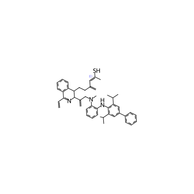 C=CC1=NC(C(=C)CN(C)c2ccccc2Nc2c(C(C)C)cc(-c3ccccc3)cc2C(C)C)C(CCC(=C)/C=C(\C)S)c2ccccc21